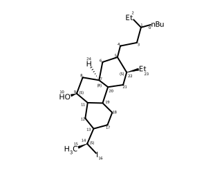 CCCCC(CC)CCC1C[C@@H]2C[C@H](O)C3CC([C@H](C)I)CCC3C2C[C@@H]1CC